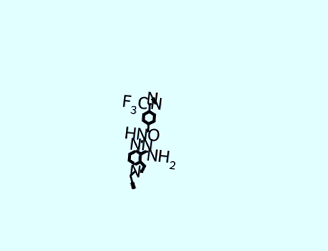 C#CCn1ccc2c3c(N)nc(NC(=O)c4ccc(C5(C(F)(F)F)N=N5)cc4)nc3ccc21